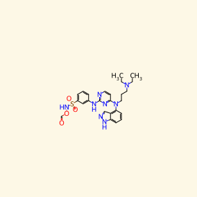 CCN(CC)CCCN(c1ccnc(Nc2cccc(S(=O)(=O)NOC=O)c2)n1)c1cccc2[nH]ncc12